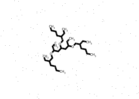 CCCCC(CC)COC(CC)CC(CC(CC)OCC(CC)CCCC)OCC(CC)CCCC